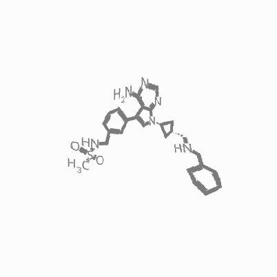 CS(=O)(=O)NCc1cccc(-c2cn([C@H]3C[C@@H](CNCc4ccccc4)C3)c3ncnc(N)c23)c1